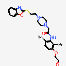 CCOCCOc1ccc(C(C)C)c(NC(=O)CN2CCN(CCSc3nc4ccccc4o3)CC2)c1C(C)C